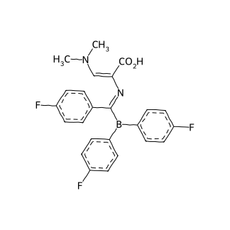 CN(C)C=C(N=C(B(c1ccc(F)cc1)c1ccc(F)cc1)c1ccc(F)cc1)C(=O)O